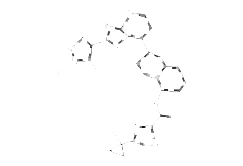 Cc1c(-c2nc3c(-c4ccc5c(NC(=O)c6noc(C7(C)CC7)n6)cccc5c4)ccnc3[nH]2)cnn1C(C)C